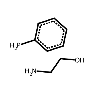 NCCO.Pc1ccccc1